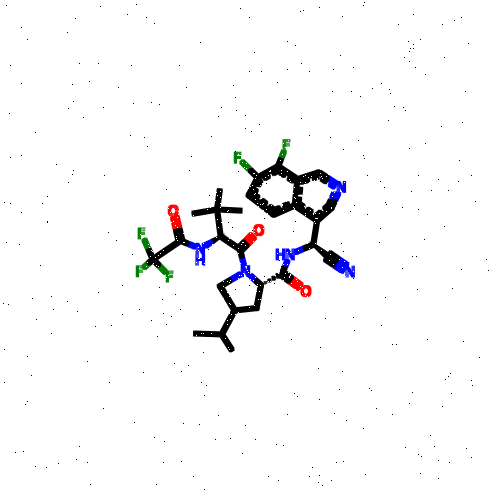 CC(C)C1C[C@@H](C(=O)N[C@H](C#N)c2cncc3c(F)c(F)ccc23)N(C(=O)[C@@H](NC(=O)C(F)(F)F)C(C)(C)C)C1